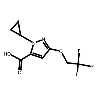 O=C(O)c1cc(OCC(F)(F)F)nn1C1CC1